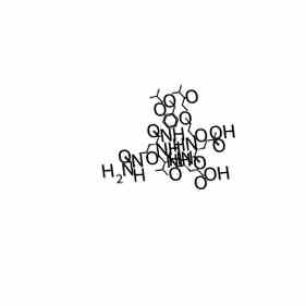 CC(C)C(=O)CCOCCC(=O)N[C@@H](CCC(=O)O)C(=O)N[C@@H](CCC(=O)O)C(=O)N[C@H](C(=O)N[C@@H](CCCNC(N)=O)C(=O)Nc1ccc(COC(=O)C(C)C)cc1)C(C)C